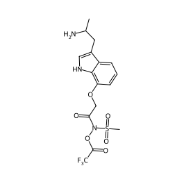 CC(N)Cc1c[nH]c2c(OCC(=O)N(OC(=O)C(F)(F)F)S(C)(=O)=O)cccc12